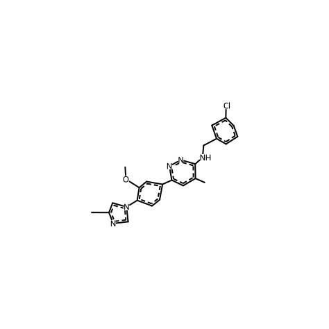 COc1cc(-c2cc(C)c(NCc3cccc(Cl)c3)nn2)ccc1-n1cnc(C)c1